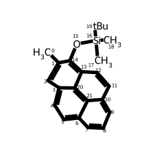 Cc1cc2ccc3cccc4ccc(c1O[Si](C)(C)C(C)(C)C)c2c34